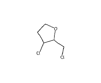 ClCC1OCCC1Cl